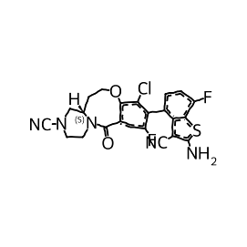 N#Cc1c(N)sc2c(F)ccc(-c3c(F)cc4c(c3Cl)OCC[C@H]3CN(C#N)CCN3C4=O)c12